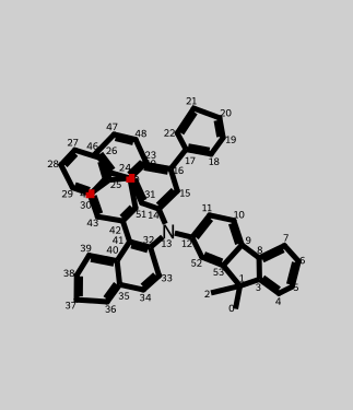 CC1(C)c2ccccc2-c2ccc(N(c3cc(-c4ccccc4)cc(-c4ccccc4)c3)c3ccc4ccccc4c3-c3ccc4ccccc4c3)cc21